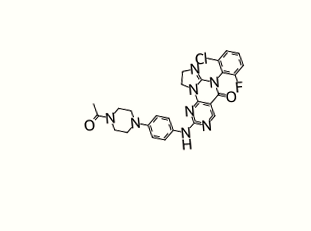 CC(=O)N1CCN(c2ccc(Nc3ncc4c(n3)N3CCN=C3N(c3c(F)cccc3Cl)C4=O)cc2)CC1